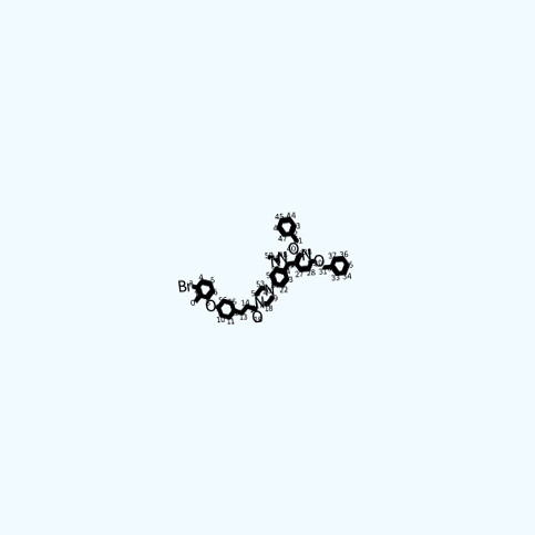 Cc1c(Br)cccc1OC1CCC(CCC(=O)N2CCN(c3ccc4c(-c5ccc(OCc6ccccc6)nc5OCc5ccccc5)nn(C)c4c3)CC2)CC1